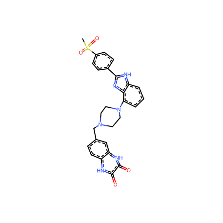 CS(=O)(=O)c1ccc(-c2nc3c(N4CCN(Cc5ccc6[nH]c(=O)c(=O)[nH]c6c5)CC4)cccc3[nH]2)cc1